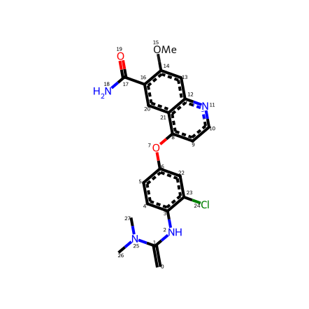 C=C(Nc1ccc(Oc2ccnc3cc(OC)c(C(N)=O)cc23)cc1Cl)N(C)C